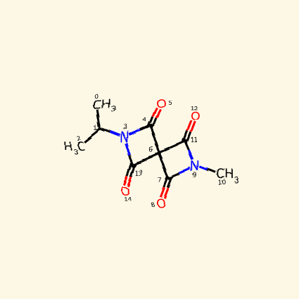 CC(C)N1C(=O)C2(C(=O)N(C)C2=O)C1=O